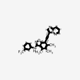 Cc1c(C)c(C)c2c(Nc3cccc(C(F)(F)F)c3)noc2c1C#Cc1cnc2cccnn12